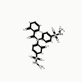 CNS(=O)(=O)C1=CC=C(N(C(=O)C2=CC=CCC2=S)c2ccc(S(=O)(=O)NC)cc2)C(=S)C1